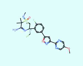 CN=[S@@]1(=O)C[C@@](CF)(c2cc(-c3cc(-c4ncc(OC)cn4)no3)ccc2F)N=C(N)C1(C)C